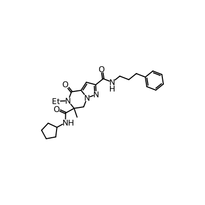 CCN1C(=O)c2cc(C(=O)NCCCc3ccccc3)nn2CC1(C)C(=O)NC1CCCC1